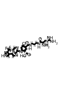 N=C(N)NC[C@H](N)C(=O)NCCCNC(=O)c1ccc(Nc2nccn3c(-c4c[nH]nc4C(F)(F)F)cnc23)cc1Cl.O=CO